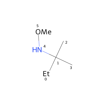 CCC(C)(C)NOC